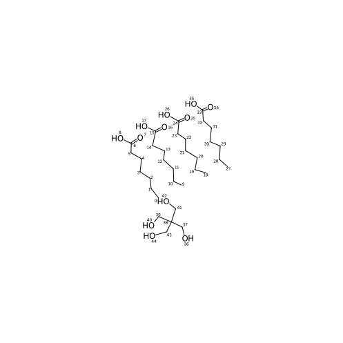 CCCCCCC(=O)O.CCCCCCC(=O)O.CCCCCCC(=O)O.CCCCCCC(=O)O.OCC(CO)(CO)CO